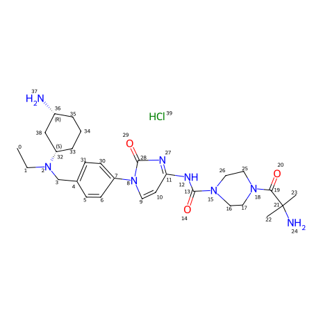 CCN(Cc1ccc(-n2ccc(NC(=O)N3CCN(C(=O)C(C)(C)N)CC3)nc2=O)cc1)[C@H]1CCC[C@@H](N)C1.Cl